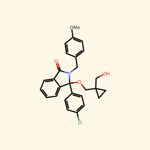 COc1ccc(CN2C(=O)c3ccccc3C2(OCC2(CO)CC2)c2ccc(Cl)cc2)cc1